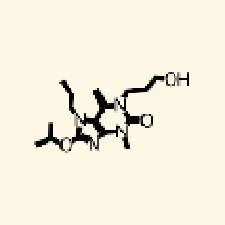 C=C1c2c(nc(OC(C)C)n2CCC)N(C)C(=O)N1CCCO